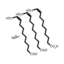 CCCCCCCC/C=C\CCCCCCCC(=O)O.CCCCCCCC/C=C\CCCCCCCC(=O)[O-].CCCCCCCC/C=C\CCCCCCCC(=O)[O-].[Na+].[Na+]